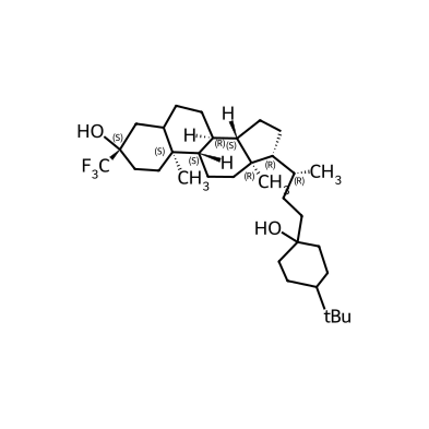 C[C@H](CCC1(O)CCC(C(C)(C)C)CC1)[C@H]1CC[C@H]2[C@@H]3CCC4C[C@](O)(C(F)(F)F)CC[C@]4(C)[C@H]3CC[C@]12C